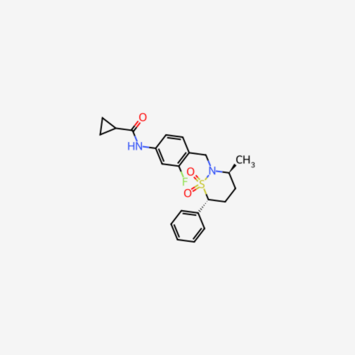 C[C@H]1CC[C@H](c2ccccc2)S(=O)(=O)N1Cc1ccc(NC(=O)C2CC2)cc1F